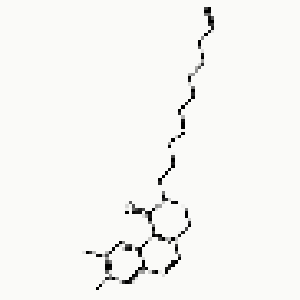 C=CCCCCCCCCCC1CCc2ccc3cc(C)c(C)cc3c2C1=O